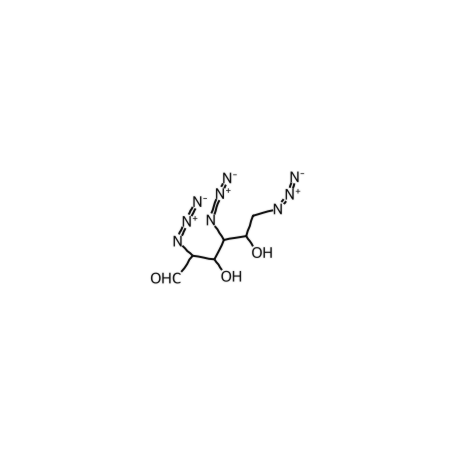 [N-]=[N+]=NCC(O)C(N=[N+]=[N-])C(O)C(C=O)N=[N+]=[N-]